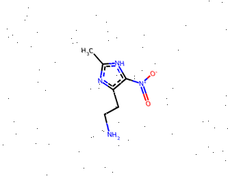 Cc1nc(CCN)c([N+](=O)[O-])[nH]1